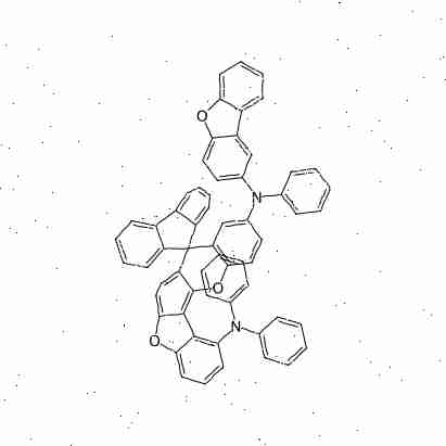 c1ccc(N(c2ccc3c(c2)C2(c4ccccc4-c4ccccc42)c2ccc4oc5cccc(N(c6ccccc6)c6ccccc6)c5c4c2O3)c2ccc3oc4ccccc4c3c2)cc1